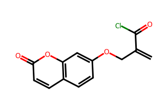 C=C(COc1ccc2ccc(=O)oc2c1)C(=O)Cl